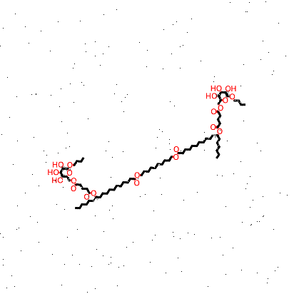 CCCCCC[C@H](CCCCCCCCCCC(=O)OCCCCCCCCCCOC(=O)CCCCCCCCCC[C@@H](CCCCCC)OC(=O)CCCC(=O)OCC1O[C@@H](OCCCC)[C@@H](O)C(O)[C@H]1O)OC(=O)CCCC(=O)OCC1O[C@@H](OCCCC)[C@@H](O)C(O)[C@@H]1O